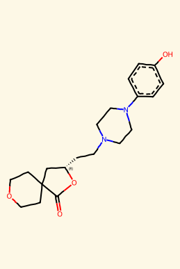 O=C1O[C@@H](CCN2CCN(c3ccc(O)cc3)CC2)CC12CCOCC2